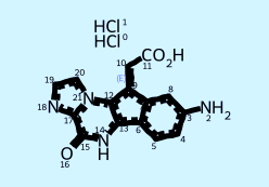 Cl.Cl.Nc1ccc2c(c1)/c(=C\C(=O)O)c1c2[nH]c(=O)c2nccn21